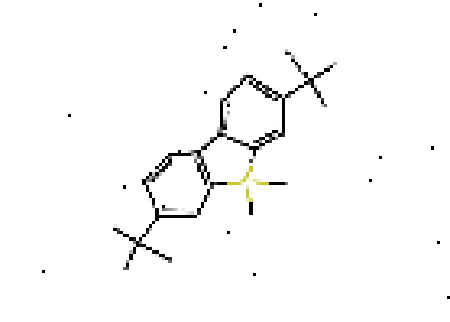 CC(C)(C)c1ccc2c(c1)S(C)(C)c1cc(C(C)(C)C)ccc1-2